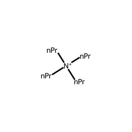 [CH2]CC[N+](CCC)(CCC)CCC